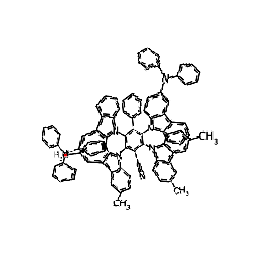 Cc1ccc2c(c1)c1cc(C)ccc1n2-c1c(C#N)c(-n2c3ccc(C)cc3c3cc(C)ccc32)c(-n2c3ccccc3c3cc(N(c4ccccc4)c4ccccc4)ccc32)c(-c2ccccc2)c1-n1c2ccccc2c2cc(N(c3ccccc3)c3ccccc3)ccc21